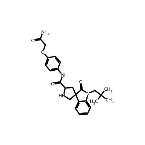 CC(C)(C)CN1C(=O)C2(CNC(C(=O)Nc3ccc(OCC(N)=O)cc3)C2)c2ccccc21